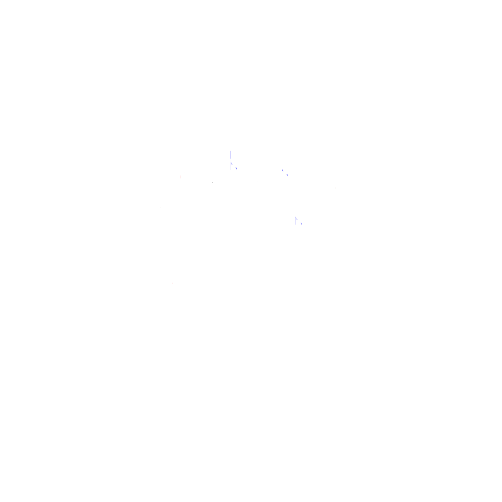 CCSc1ncc2c(n1)NC(=O)C2=Cc1sccc1Oc1ccccc1